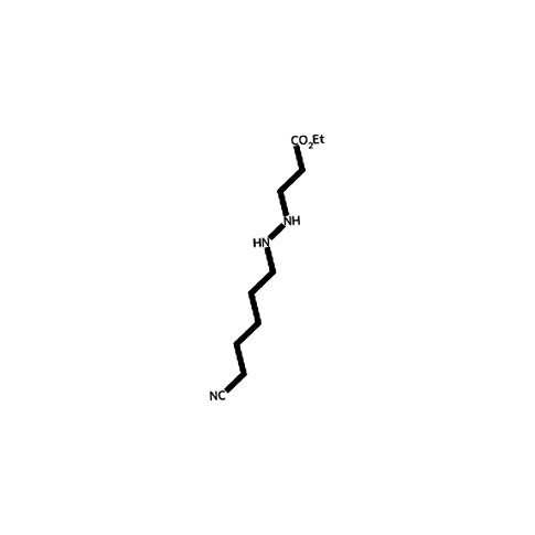 CCOC(=O)CCNNCCCCCC#N